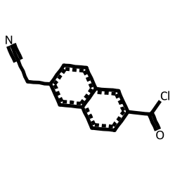 N#CCc1ccc2cc(C(=O)Cl)ccc2c1